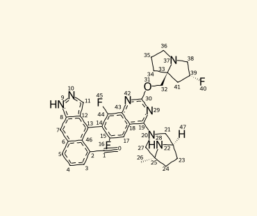 C#Cc1cccc2cc3[nH]ncc3c(-c3c(F)cc4c(N5C[C@H]6CC[C@@](C)(C5)N6)nc(OC[C@@]56CCCN5C[C@H](F)C6)nc4c3F)c12